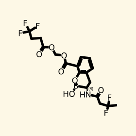 CC(F)(F)CC(=O)N[C@H]1Cc2cccc(C(=O)OCOC(=O)CCC(F)(F)F)c2OB1O